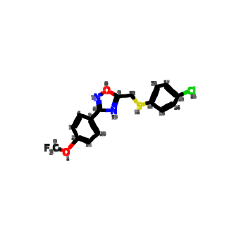 FC(F)(F)Oc1ccc(-c2noc(CSc3ccc(Cl)cc3)n2)cc1